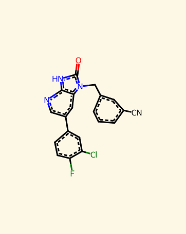 N#Cc1cccc(Cn2c(=O)[nH]c3ncc(-c4ccc(F)c(Cl)c4)cc32)c1